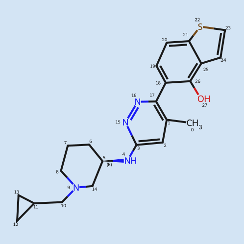 Cc1cc(N[C@@H]2CCCN(CC3CC3)C2)nnc1-c1ccc2sccc2c1O